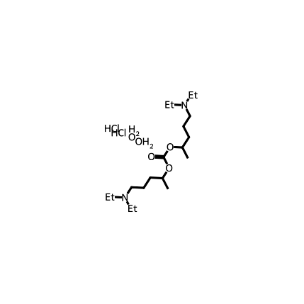 CCN(CC)CCCC(C)OC(=O)OC(C)CCCN(CC)CC.Cl.Cl.O.O